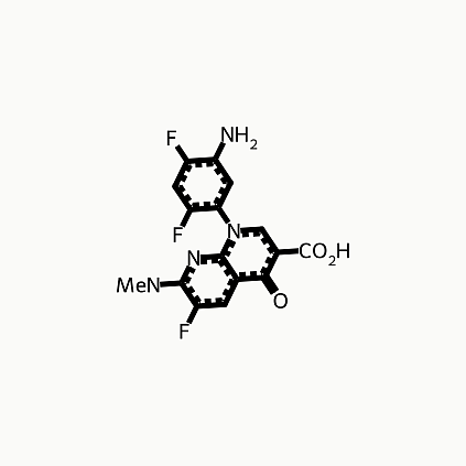 CNc1nc2c(cc1F)c(=O)c(C(=O)O)cn2-c1cc(N)c(F)cc1F